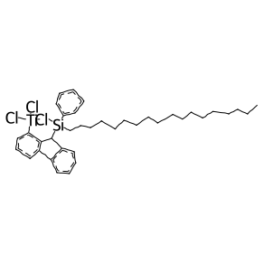 CCCCCCCCCCCCCCCCCC[Si](C)(c1ccccc1)C1c2ccccc2-c2ccc[c]([Ti]([Cl])([Cl])[Cl])c21